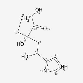 CC[C@](O)(CC(C)c1c[nH]cn1)C(=O)CO